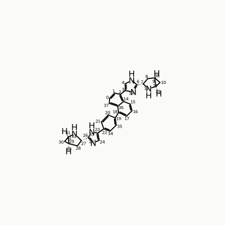 c1cc(-c2c[nH]c([C@@H]3C[C@@H]4C[C@H]4N3)n2)c2cccc(-c3ccc(-c4cnc([C@@H]5C[C@H]6C[C@H]6N5)[nH]4)cc3)c2c1